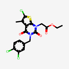 CCOC(=O)Cn1c(=O)n(Cc2ccc(Cl)c(Cl)c2)c(=O)c2c(C)c(Cl)sc21